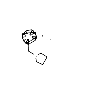 C1CCN(C[C]23[CH]4[CH]5[CH]6[CH]2[Fe]56432789[CH]3[CH]2[CH]7[CH]8[CH]39)C1.COC